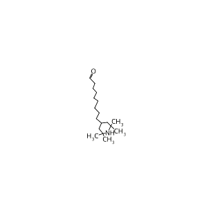 CC1(C)CC(CCCCCCCCC=O)CC(C)(C)N1